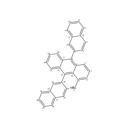 CCCCc1cccc2c(-c3ccc4ccccc4c3)c3ccccc3c(-c3ccc4ccccc4c3)c12